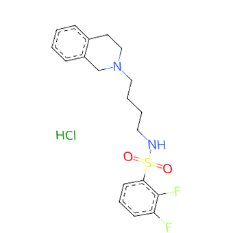 Cl.O=S(=O)(NCCCCN1CCc2ccccc2C1)c1cccc(F)c1F